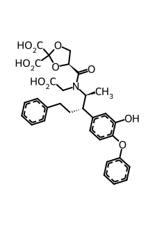 C[C@@H]([C@@H](CCc1ccccc1)c1ccc(Oc2ccccc2)c(O)c1)N(CC(=O)O)C(=O)[C@@H]1COC(C(=O)O)(C(=O)O)O1